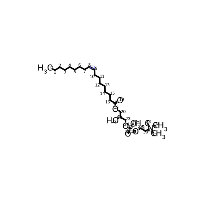 CCCCCCCC/C=C\CCCCCCCC(=O)OC[C@@H](O)COP(=O)([O-])OCC[N+](C)(C)C